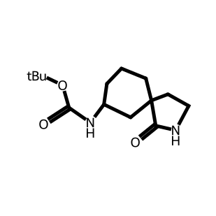 CC(C)(C)OC(=O)NC1CCCC2(CCNC2=O)C1